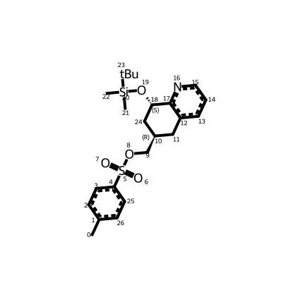 Cc1ccc(S(=O)(=O)OC[C@@H]2Cc3cccnc3[C@@H](O[Si](C)(C)C(C)(C)C)C2)cc1